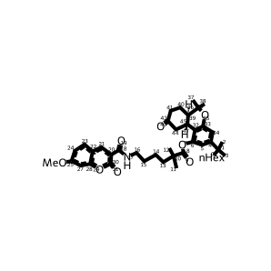 CCCCCCC(C)(C)c1cc(OC(=O)C(C)(C)CCCCNC(=O)c2cc3ccc(OC)cc3oc2=O)c2c(c1)OC(C)(C)[C@@H]1CCC(=O)C[C@@H]21